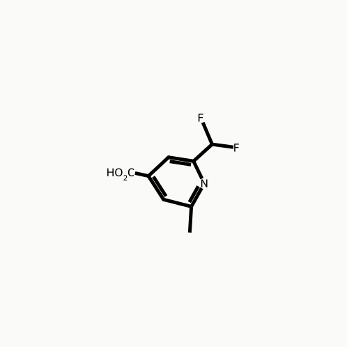 Cc1cc(C(=O)O)cc(C(F)F)n1